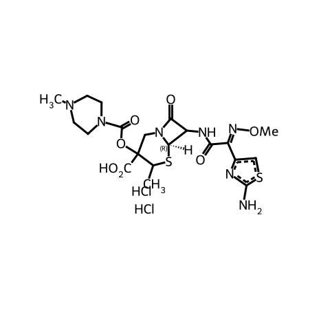 CON=C(C(=O)NC1C(=O)N2CC(OC(=O)N3CCN(C)CC3)(C(=O)O)C(C)S[C@H]12)c1csc(N)n1.Cl.Cl